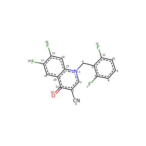 N#Cc1cn(Cc2c(F)cccc2F)c2cc(F)c(F)cc2c1=O